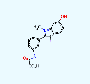 Cn1c(-c2cccc(NC(=O)C(=O)O)c2)c(I)c2ccc(O)cc21